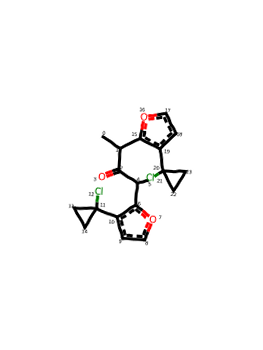 CC(C(=O)C(C)c1occc1C1(Cl)CC1)c1occc1C1(Cl)CC1